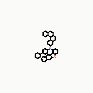 c1ccc(-c2ccc(N(c3ccc4c(ccc5ccc6ccccc6c54)c3)c3cccc4oc5cc6ccccc6cc5c34)cc2)cc1